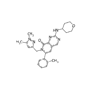 Cc1ccccc1-c1cc2cnc(NC3CCOCC3)nc2c(=O)n1Cc1cc(C)n(C)n1